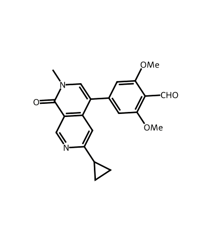 COc1cc(-c2cn(C)c(=O)c3cnc(C4CC4)cc23)cc(OC)c1C=O